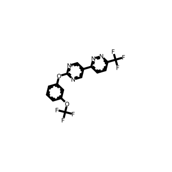 FC(F)(F)Oc1cccc(Oc2ncc(-c3ccc(C(F)(F)F)nn3)cn2)c1